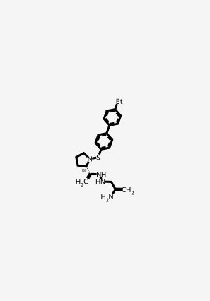 C=C(N)CNNC(=C)[C@@H]1CCCN1Sc1ccc(-c2ccc(CC)cc2)cc1